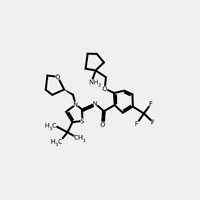 CC(C)(C)c1cn(C[C@H]2CCCO2)/c(=N/C(=O)c2cc(C(F)(F)F)ccc2OCC2(N)CCCC2)s1